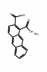 N.O=C(O)c1ccc2cc3ccccc3cc2c1C(=O)O